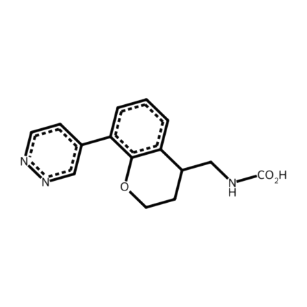 O=C(O)NCC1CCOc2c(-c3ccnnc3)cccc21